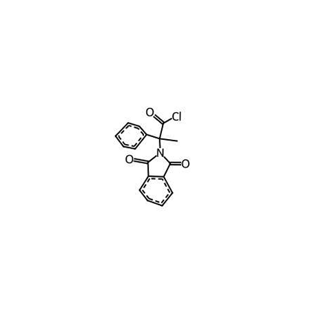 CC(C(=O)Cl)(c1ccccc1)N1C(=O)c2ccccc2C1=O